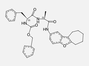 C[C@H](NC(=O)[C@H](Cc1ccccc1)NC(=O)OCc1ccccc1)C(=O)Nc1ccc2oc3c(c2c1)CCCCC3